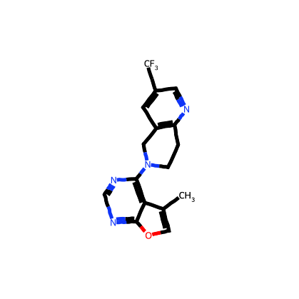 Cc1coc2ncnc(N3CCc4ncc(C(F)(F)F)cc4C3)c12